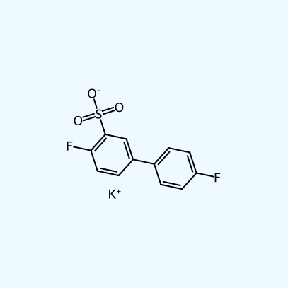 O=S(=O)([O-])c1cc(-c2ccc(F)cc2)ccc1F.[K+]